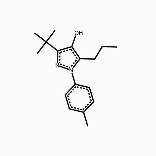 CCCc1c(O)c(C(C)(C)C)nn1-c1ccc(C)cc1